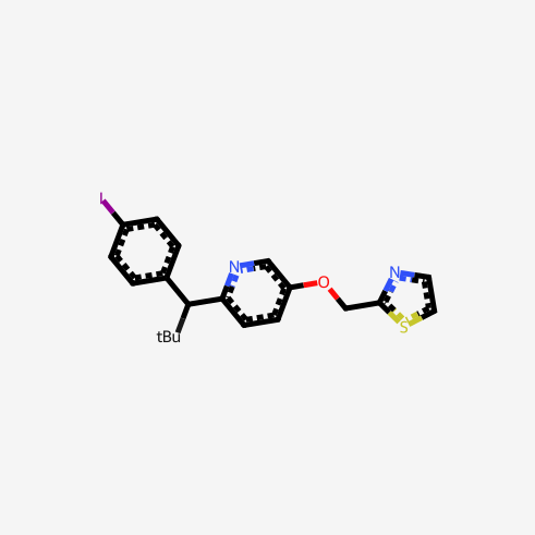 CC(C)(C)C(c1ccc(I)cc1)c1ccc(OCc2nccs2)cn1